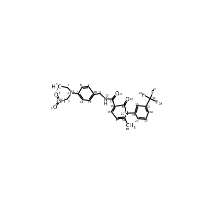 CCN(C[SH](=O)=O)c1ccc(CNC(=O)c2ccc(C)n(-c3cccc(C(F)(F)F)c3)c2=O)cc1